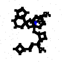 CNCC1(CC2(CC3CCC3C(C)/C=C/C3CCC3)CC=C(C)CC2)CCCC2=C1CC=C2